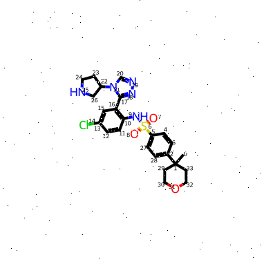 CC1(c2ccc(S(=O)(=O)Nc3ccc(Cl)cc3-c3nncn3C3CCNC3)cc2)CCOCC1